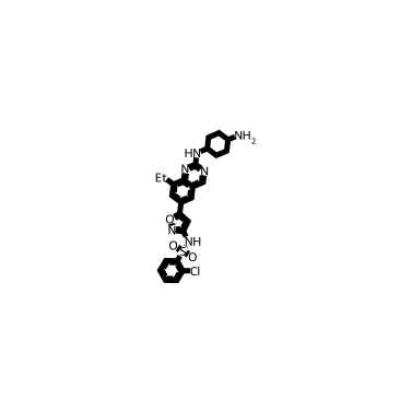 CCc1cc(-c2cc(NS(=O)(=O)c3ccccc3Cl)no2)cc2cnc(NC3CCC(N)CC3)nc12